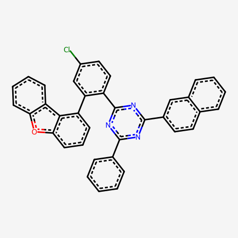 Clc1ccc(-c2nc(-c3ccccc3)nc(-c3ccc4ccccc4c3)n2)c(-c2cccc3oc4ccccc4c23)c1